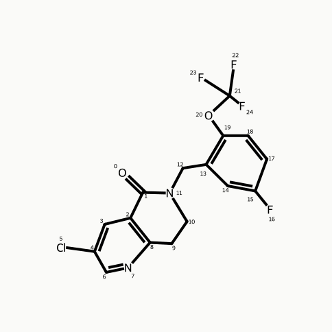 O=C1c2cc(Cl)cnc2CCN1Cc1cc(F)ccc1OC(F)(F)F